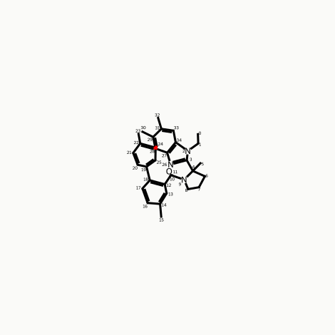 CCn1c(C2(C)CCCN2C(=O)c2cc(C)ccc2-c2ccc(C)cc2)nc2cc(C)c(C)cc21